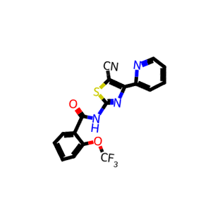 N#Cc1sc(NC(=O)c2ccccc2OC(F)(F)F)nc1-c1ccccn1